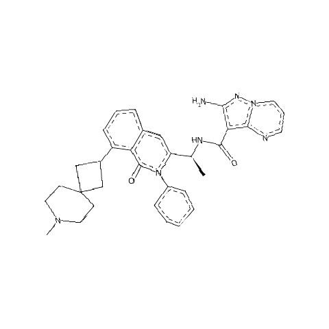 C[C@H](NC(=O)c1c(N)nn2cccnc12)c1cc2cccc(C3CC4(CCN(C)CC4)C3)c2c(=O)n1-c1ccccc1